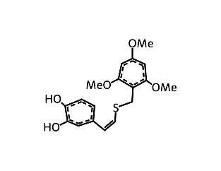 COc1cc(OC)c(CS/C=C\c2ccc(O)c(O)c2)c(OC)c1